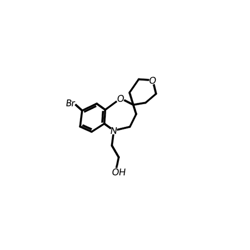 OCCN1CCC2(CCOCC2)Oc2cc(Br)ccc21